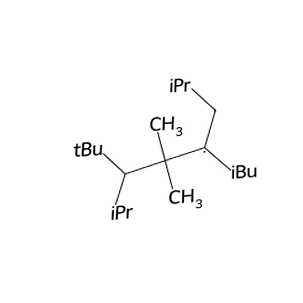 CCC(C)[C](CC(C)C)C(C)(C)C(C(C)C)C(C)(C)C